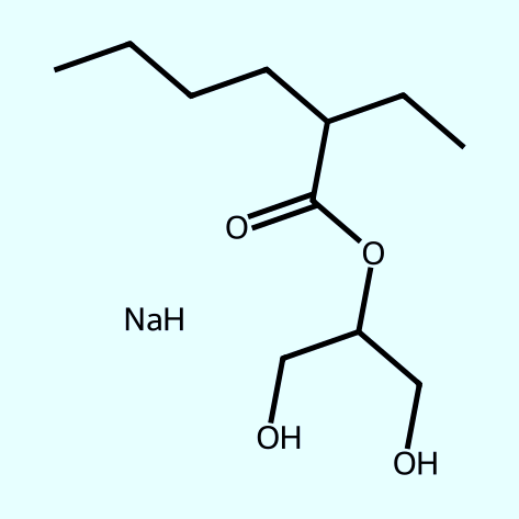 CCCCC(CC)C(=O)OC(CO)CO.[NaH]